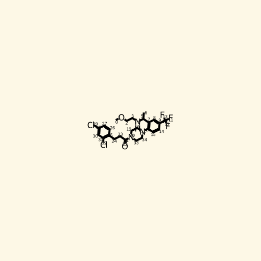 COCCNC(C)c1cc(C(F)(F)F)ccc1N1CCN(C(=O)CCc2ccc(Cl)cc2Cl)CC1